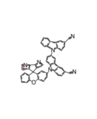 N#Cc1ccc2c(c1)c1ccccc1n2-c1ccc2c(c1)c1cc(C#N)ccc1n2-c1ccc2c(c1)C1(c3ccccc3O2)c2cccnc2-c2ncccc21